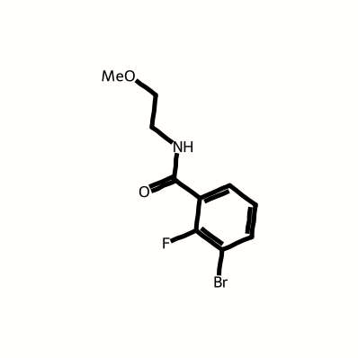 COCCNC(=O)c1cccc(Br)c1F